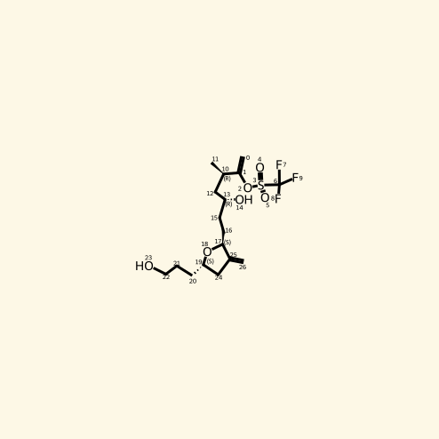 C=C(OS(=O)(=O)C(F)(F)F)[C@H](C)C[C@H](O)CC[C@@H]1O[C@@H](CCCO)CC1=C